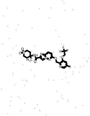 CC1(NC(=O)c2cn3nc(OCc4ncc(F)cc4OCC(F)(F)F)ccc3n2)CCS(=O)(=O)CC1